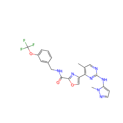 Cc1cnc(Nc2ccnn2C)nc1-c1coc(C(=O)NCc2cccc(OC(F)(F)F)c2)n1